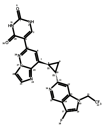 O=c1[nH]cc(-c2cc([C@H]3C[C@@H]3c3cc4c(cn3)c(F)cn4CC(F)(F)F)c3nccn3n2)c(=O)[nH]1